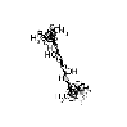 C[Si](C)(C)O[Si](C)(CCCNCC(O)COCCOCC(O)CNCCC[Si](C)(O[Si](C)(C)C)O[Si](C)(C)C)O[Si](C)(C)C